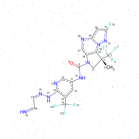 C[C@@]1(C(F)(F)F)CN(C(=O)Nc2cnc(N/N=C\C=N)c(C(F)(F)F)c2)c2cnc3cc(F)nn3c21